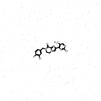 Cc1cnc(Cl)nc1-c1cn2c(n1)C(=O)N(Cc1ccc(F)c(Cl)c1)CC2